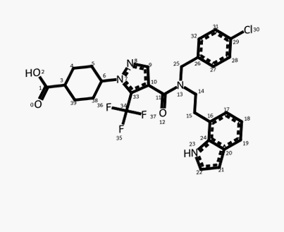 O=C(O)C1CCC(n2ncc(C(=O)N(CCc3cccc4cc[nH]c34)Cc3ccc(Cl)cc3)c2C(F)(F)F)CC1